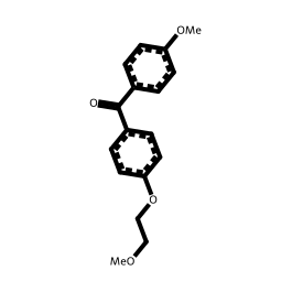 COCCOc1ccc(C(=O)c2ccc(OC)cc2)cc1